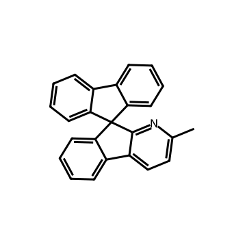 Cc1ccc2c(n1)C1(c3ccccc3-c3ccccc31)c1ccccc1-2